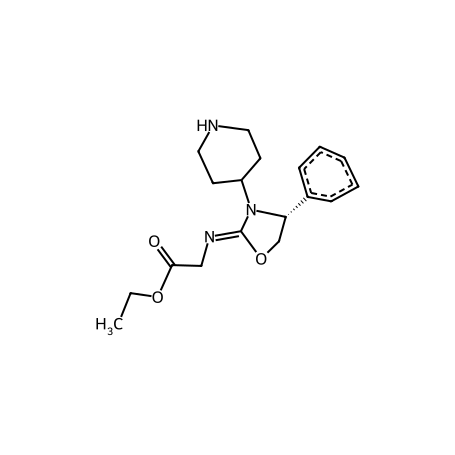 CCOC(=O)C/N=C1\OC[C@@H](c2ccccc2)N1C1CCNCC1